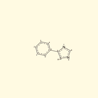 [c]1ccccc1-c1ncns1